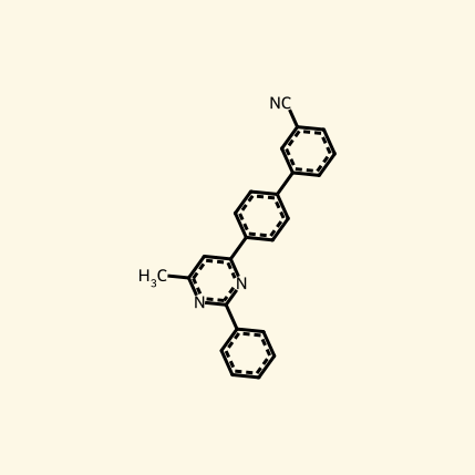 Cc1cc(-c2ccc(-c3cccc(C#N)c3)cc2)nc(-c2ccccc2)n1